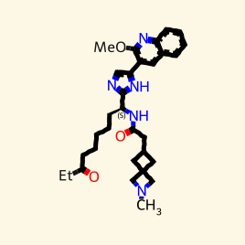 CCC(=O)CCCCC[C@H](NC(=O)CC1CC2(C1)CN(C)C2)c1ncc(-c2cc3ccccc3nc2OC)[nH]1